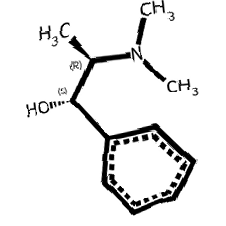 C[C@H]([C@@H](O)c1ccccc1)N(C)C